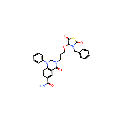 NC(=O)c1ccc2c(c1)C(=O)N(CCCOC1C(=O)SC(=O)N1Cc1ccccc1)CN2c1ccccc1